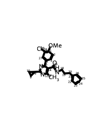 COc1ccc(-c2nc(C3CC3)nc(C)c2C(=O)NCCCc2ccccc2)cc1Cl